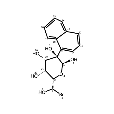 OC(Br)[C@H]1O[C@H](O)[C@@](O)(c2cccc3ccccc23)[C@@H](O)[C@H]1O